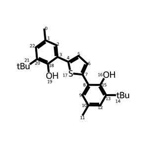 Cc1cc(-c2ccc(-c3cc(C)cc(C(C)(C)C)c3O)s2)c(O)c(C(C)(C)C)c1